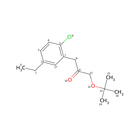 CCc1ccc(Cl)c(CC(=O)COC(C)(C)C)c1